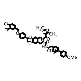 COc1ccc(-c2ccc(CC(NC(=O)[C@@H]3Cc4cc5c(cc4CN3C(=O)c3nc(C)oc3C)O[C@@H](c3ccc(OCc4ccc(Cl)c(Cl)c4)cc3)CO5)C(=O)O)cc2)cc1